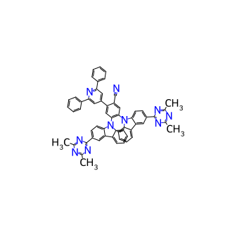 Cc1nc(C)nc(-c2ccc3c(c2)c2ccccc2n3-c2cc(C#N)c(-c3cc(-c4ccccc4)nc(-c4ccccc4)c3)cc2-n2c3ccccc3c3cc(-c4nc(C)nc(C)n4)ccc32)n1